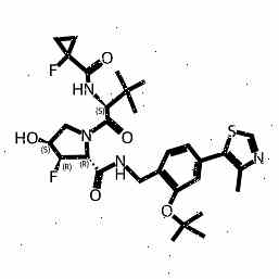 Cc1ncsc1-c1ccc(CNC(=O)[C@@H]2[C@@H](F)[C@@H](O)CN2C(=O)[C@@H](NC(=O)C2(F)CC2)C(C)(C)C)c(OC(C)(C)C)c1